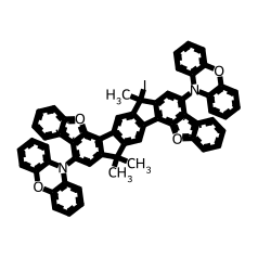 CC1(C)c2cc3c(cc2-c2c1cc(N1c4ccccc4Oc4ccccc41)c1c2oc2ccccc21)C(C)(I)c1cc(N2c4ccccc4Oc4ccccc42)c2c(oc4ccccc42)c1-3